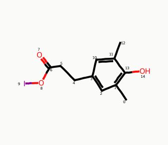 Cc1cc(CCC(=O)OI)cc(C)c1O